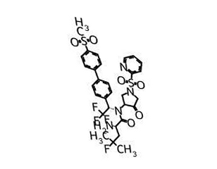 CC(C)(F)C[C@H](N)C(=O)N(C1CN(S(=O)(=O)c2ccccn2)CC1=O)[C@@H](c1ccc(-c2ccc(S(C)(=O)=O)cc2)cc1)C(F)(F)F